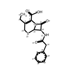 CCC1=C(C(=O)O)N2C(=O)[C@@H](NC(=O)Cc3ccccc3)C2SC1